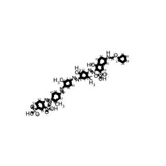 Cc1cc(N=Nc2cc(C)c(N=Nc3c(S(=O)(=O)O)cc4cc(NCOc5ccccc5)ccc4c3O)cc2C)ccc1N=Nc1ccc(N=Nc2ccc(S(=O)(=O)O)cc2S(=O)(=O)O)c(C)c1